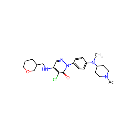 CC(=O)N1CCC(N(C)c2ccc(-n3ncc(NCC4CCCOC4)c(Cl)c3=O)cc2)CC1